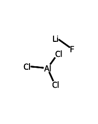 [Cl][Al]([Cl])[Cl].[Li][F]